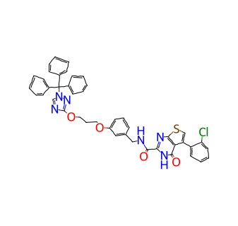 O=C(NCc1cccc(OCCCOc2ncn(C(c3ccccc3)(c3ccccc3)c3ccccc3)n2)c1)c1nc2scc(-c3ccccc3Cl)c2c(=O)[nH]1